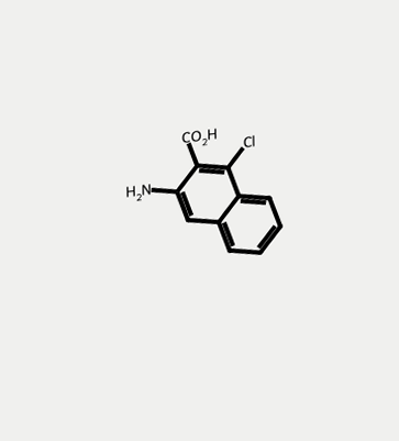 Nc1cc2ccccc2c(Cl)c1C(=O)O